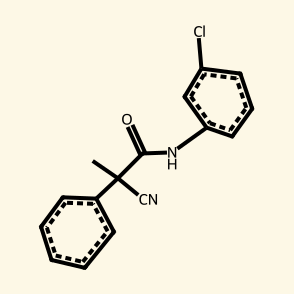 CC(C#N)(C(=O)Nc1cccc(Cl)c1)c1ccccc1